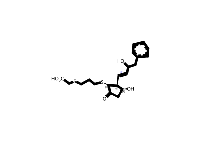 O=C(O)CSCCCS[C@H]1C(=O)C[C@@H](O)[C@@H]1/C=C/C(O)Cc1ccccc1